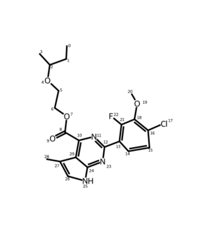 CCC(C)OCCOC(=O)c1nc(-c2ccc(Cl)c(OC)c2F)nc2[nH]cc(C)c12